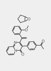 C1CC2OC2C1.C=C(c1ccccc1OC)c1nc2ccccn2c(=O)c1-c1ccc(C(C)=O)cc1